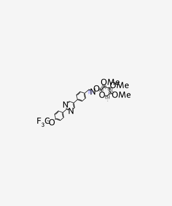 CO[C@@H]1[C@@H](OC)[C@H](C)O[C@@H](O/N=C/c2ccc(-c3cnc(-c4ccc(OC(F)(F)F)cc4)nc3)cc2)[C@@H]1OC